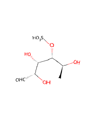 C[C@H](O)[C@@H](OS(=O)(=O)O)[C@@H](O)[C@H](O)C=O